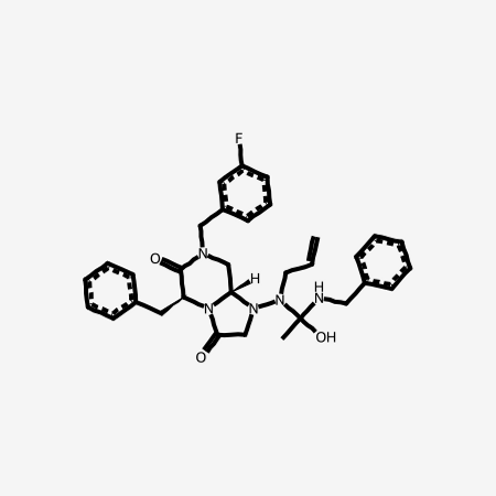 C=CCN(N1CC(=O)N2[C@@H](Cc3ccccc3)C(=O)N(Cc3cccc(F)c3)C[C@@H]21)C(C)(O)NCc1ccccc1